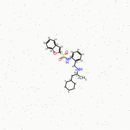 C[C@@H](CC1CCCCC1)NCc1ccccc1NS(=O)(=O)c1cc2ccccc2o1